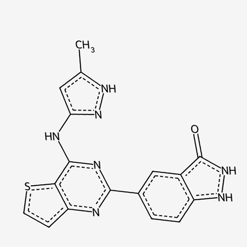 Cc1cc(Nc2nc(-c3ccc4[nH][nH]c(=O)c4c3)nc3ccsc23)n[nH]1